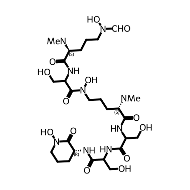 CN[C@@H](CCCN(O)C(=O)C(CO)NC(=O)[C@H](CCCN(O)C=O)NC)C(=O)NC(CO)C(=O)NC(CO)C(=O)N[C@@H]1CCCN(O)C1=O